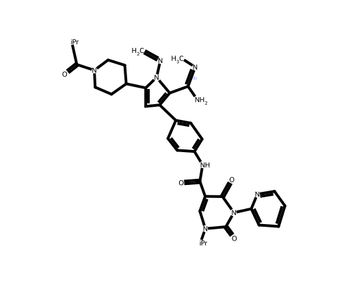 C=Nn1c(C2CCN(C(=O)C(C)C)CC2)cc(-c2ccc(NC(=O)c3cn(C(C)C)c(=O)n(-c4ccccn4)c3=O)cc2)c1/C(N)=N\C